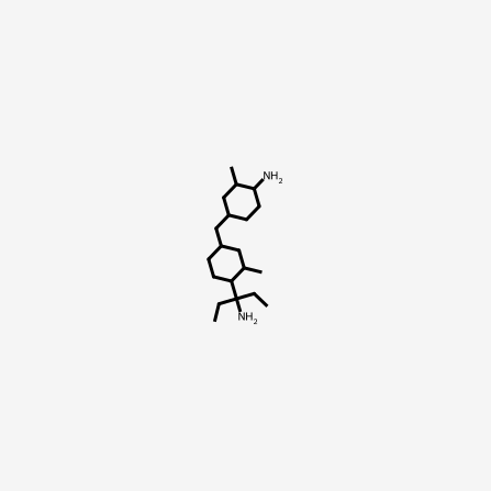 CCC(N)(CC)C1CCC(CC2CCC(N)C(C)C2)CC1C